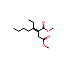 CCCC/C(CC)=C(\CC(=O)OC)C(=O)OC